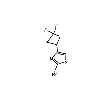 FC1(F)CC(c2csc(Br)n2)C1